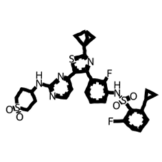 O=S1(=O)CCC(Nc2nccc(-c3sc(C45CC(C4)C5)nc3-c3cccc(NS(=O)(=O)c4c(F)cccc4C4CC4)c3F)n2)CC1